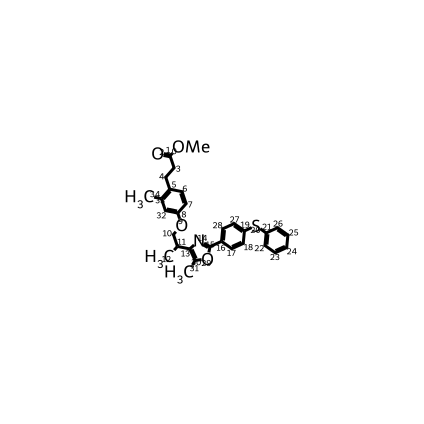 COC(=O)CCc1ccc(OCC(C)c2nc(-c3ccc(Sc4ccccc4)cc3)oc2C)cc1C